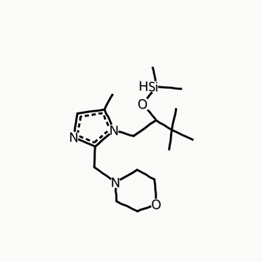 Cc1cnc(CN2CCOCC2)n1CC(O[SiH](C)C)C(C)(C)C